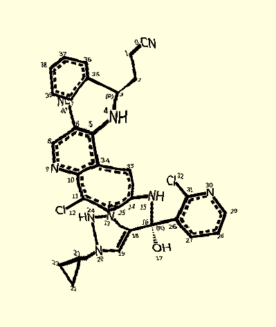 N#CCC[C@@H](Nc1c(C#N)cnc2c(Cl)cc(N[C@](O)(C3=CN(C4CC4)NN3)c3cccnc3Cl)cc12)c1ccccc1